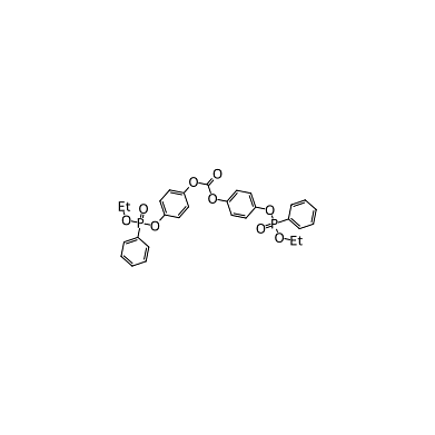 CCOP(=O)(Oc1ccc(OC(=O)Oc2ccc(OP(=O)(OCC)c3ccccc3)cc2)cc1)c1ccccc1